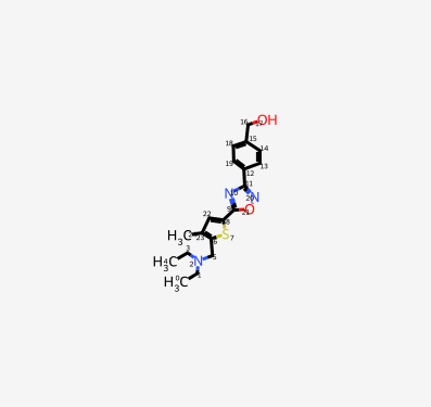 CCN(CC)Cc1sc(-c2nc(-c3ccc(CO)cc3)no2)cc1C